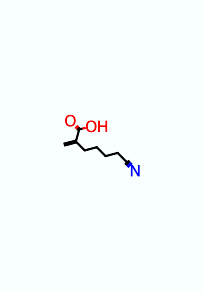 C=C(CCCCC#N)C(=O)O